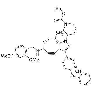 C#C/C=C(\C=C/COc1ccccc1)C1=NN(C2CCCN(C(=O)OC(C)(C)C)C2)/C2=C(C)/C=N\C(NCc3ccc(OC)cc3OC)C#CC12